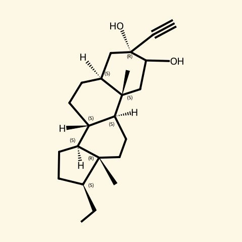 C#C[C@]1(O)C[C@@H]2CC[C@@H]3[C@H](CC[C@]4(C)[C@@H](CC)CC[C@@H]34)[C@@]2(C)CC1O